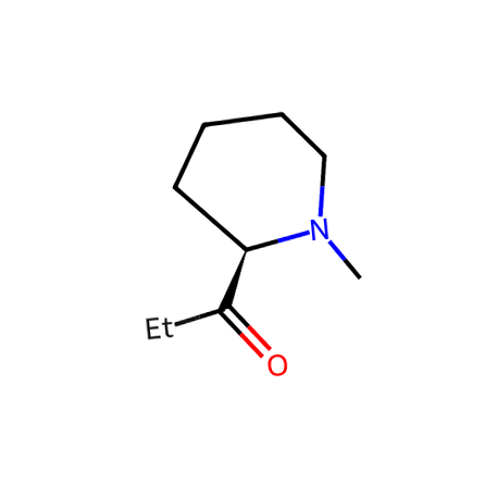 CCC(=O)[C@H]1CCCCN1C